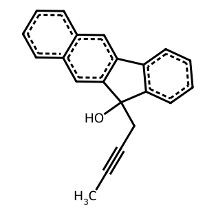 CC#CCC1(O)c2ccccc2-c2cc3ccccc3cc21